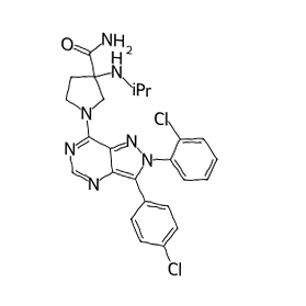 CC(C)NC1(C(N)=O)CCN(c2ncnc3c(-c4ccc(Cl)cc4)n(-c4ccccc4Cl)nc23)C1